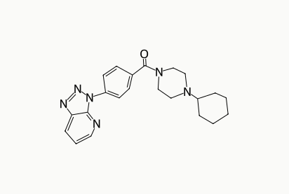 O=C(c1ccc(-n2nnc3cccnc32)cc1)N1CCN(C2CCCCC2)CC1